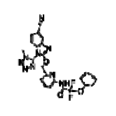 Cn1nnnc1-n1c(OCc2cccc(NC(=O)C(F)(F)Oc3ccccc3)n2)nc2cc(C#N)ccc21